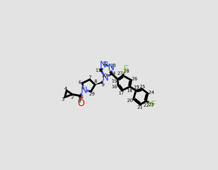 O=C(C1CC1)N1CC[C@@H](Cn2cnnc2-c2ccc(-c3ccc(F)cc3)cc2F)C1